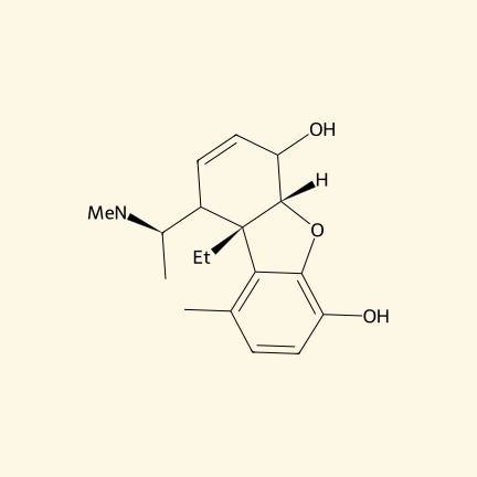 CC[C@]12c3c(C)ccc(O)c3O[C@H]1C(O)C=CC2[C@@H](C)NC